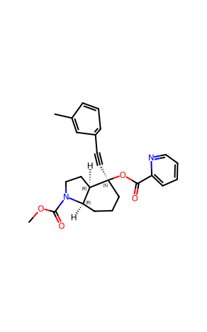 COC(=O)N1CC[C@@H]2[C@H]1CCC[C@]2(C#Cc1cccc(C)c1)OC(=O)c1ccccn1